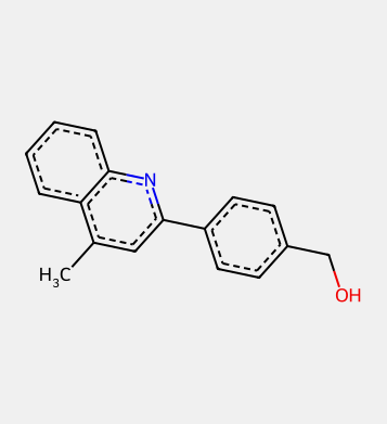 Cc1cc(-c2ccc(CO)cc2)nc2ccccc12